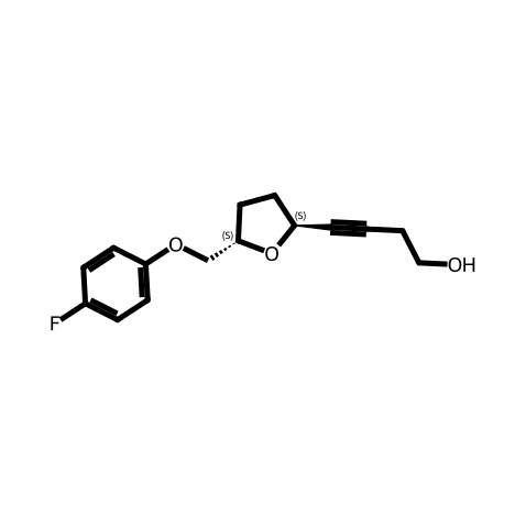 OCCC#C[C@@H]1CC[C@@H](COc2ccc(F)cc2)O1